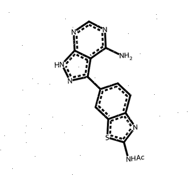 CC(=O)Nc1nc2ccc(-c3n[nH]c4ncnc(N)c34)cc2s1